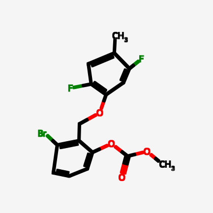 COC(=O)Oc1cccc(Br)c1COc1cc(F)c(C)cc1F